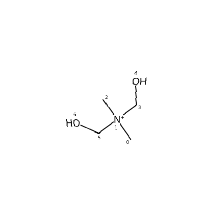 C[N+](C)(CO)CO